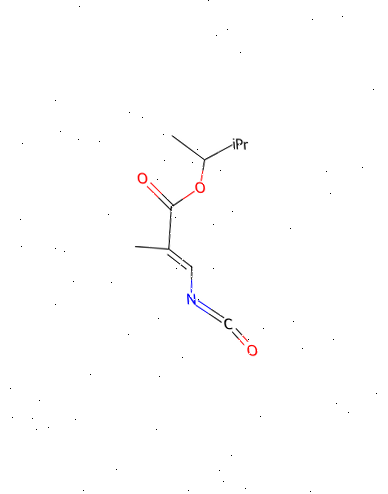 CC(=CN=C=O)C(=O)OC(C)C(C)C